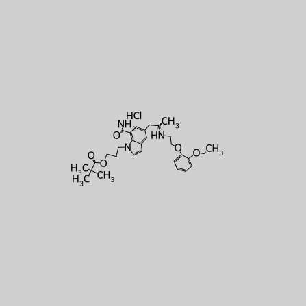 CCOc1ccccc1OCCN[C@H](C)Cc1cc(C(N)=O)c2c(ccn2CCCOC(=O)C(C)(C)C)c1.Cl